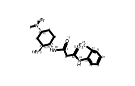 CCC[C@H]1C[C@H](N(C)C(C)C)CC[C@@H]1NC(=O)CC(=O)Nc1ccccc1C(F)(F)F